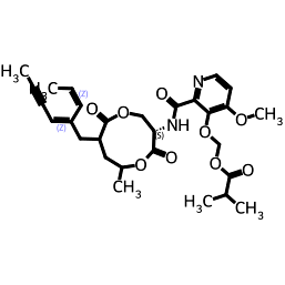 CC#C/C=C(\C=C/C)CC1CC(C)OC(=O)[C@@H](NC(=O)c2nccc(OC)c2OCOC(=O)C(C)C)COC1=O